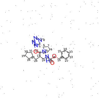 Cn1nnnc1[C@@H]1CCCN1C(=O)[C@@H](CNC(=O)OCc1ccccc1)CC1CCCC1